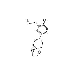 O=c1ccc(C2=CCC3(CC2)OCCO3)cn1CCI